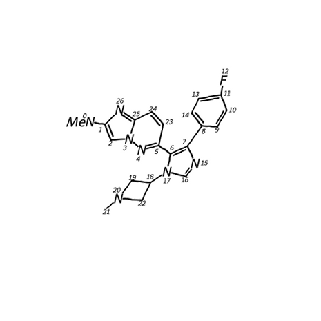 CNc1cn2nc(-c3c(-c4ccc(F)cc4)ncn3C3CN(C)C3)ccc2n1